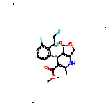 COC(=O)C1=C(C)NC2=C(C(=O)OC2)[C@H]1c1cccc(F)c1[C@@H](F)CF